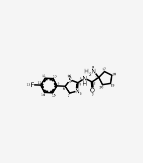 NC1(C(=O)NC2=NCC(c3ccc(F)cc3)S2)CCCC1